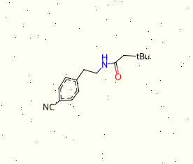 CC(C)(C)CC(=O)NCCc1ccc(C#N)cc1